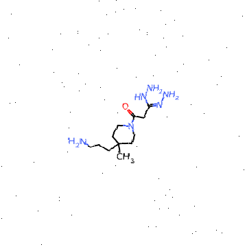 CC1(CCCN)CCN(C(=O)C/C(=N/N)NN)CC1